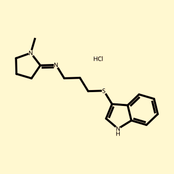 CN1CCC/C1=N\CCCSc1c[nH]c2ccccc12.Cl